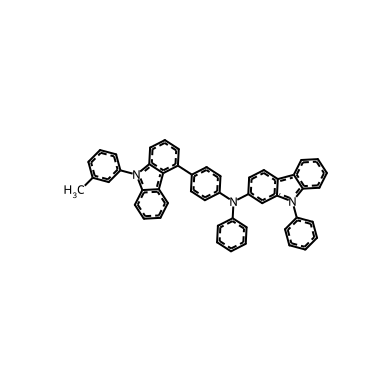 Cc1cccc(-n2c3ccccc3c3c(-c4ccc(N(c5ccccc5)c5ccc6c7ccccc7n(-c7ccccc7)c6c5)cc4)cccc32)c1